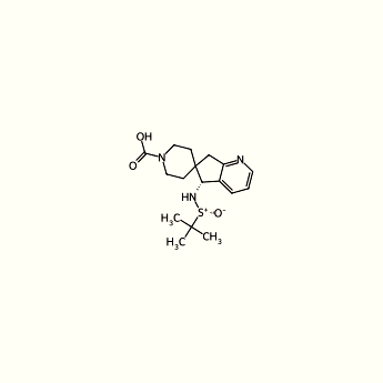 CC(C)(C)[S@@+]([O-])N[C@H]1c2cccnc2CC12CCN(C(=O)O)CC2